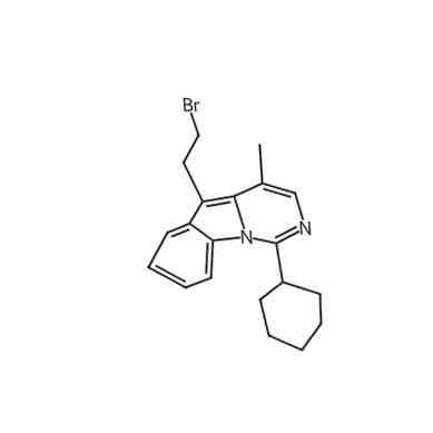 Cc1cnc(C2CCCCC2)n2c1c(CCBr)c1ccccc12